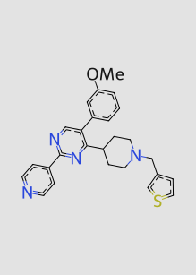 COc1cccc(-c2cnc(-c3ccncc3)nc2C2CCN(Cc3ccsc3)CC2)c1